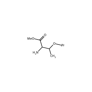 COC(=O)C(N)C(C)OC(C)C